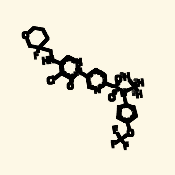 [2H]C([2H])([2H])N(c1ccc(OC(F)(F)F)cc1)S(=O)(=O)c1ccc(-n2ncc(NC[C@@]3(F)CCCOC3)c(Cl)c2=O)cn1